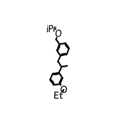 CCOc1cccc(C(C)Cc2cccc(COC(C)C)c2)c1